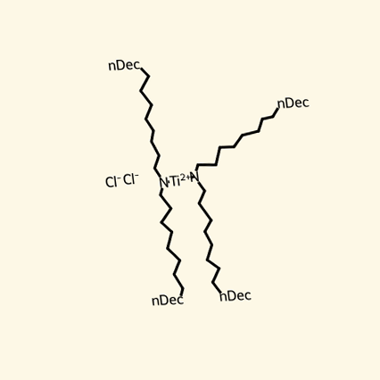 CCCCCCCCCCCCCCCCCC[N](CCCCCCCCCCCCCCCCCC)[Ti+2][N](CCCCCCCCCCCCCCCCCC)CCCCCCCCCCCCCCCCCC.[Cl-].[Cl-]